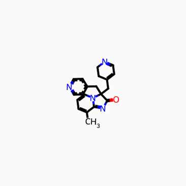 CC1=CC=CN2C1=NC(=O)C2(CC1=CC=NCC1)Cc1ccncc1